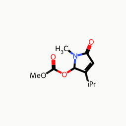 COC(=O)OC1C(C(C)C)=CC(=O)N1C